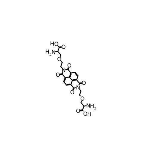 NC(COCCN1C(=O)c2ccc3c4c(ccc(c24)C1=O)C(=O)N(CCOCC(N)C(=O)O)C3=O)C(=O)O